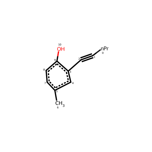 CCCC#Cc1cc(C)ccc1O